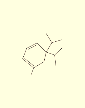 CC1=CC=CC(C(C)C)(C(C)C)C1